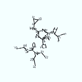 CC(C)Nc1nc(Cl)nc(NC2CC2)n1.CCSC(=O)N(CC)CC